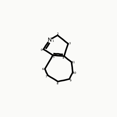 C1=NCCC2=C1CCCCCC2